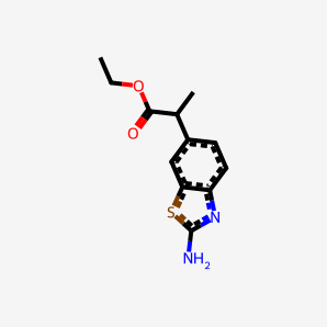 CCOC(=O)C(C)c1ccc2nc(N)sc2c1